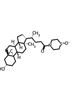 C[C@H](CCC(=O)N1CC[S+]([O-])CC1)[C@H]1CC[C@H]2[C@@H]3CC=C4C[C@@H](O)CC[C@]4(C)[C@H]3CC[C@]12C